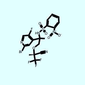 CC(CO[C@](C)(C#N)C(F)(F)F)(NS(=O)(=O)c1ccccc1[N+](=O)[O-])c1cc(Br)ncc1F